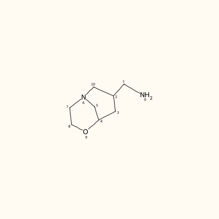 NCC1CC2CN(CCO2)C1